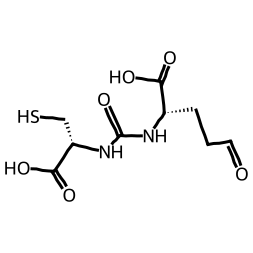 O=CCC[C@H](NC(=O)N[C@@H](CS)C(=O)O)C(=O)O